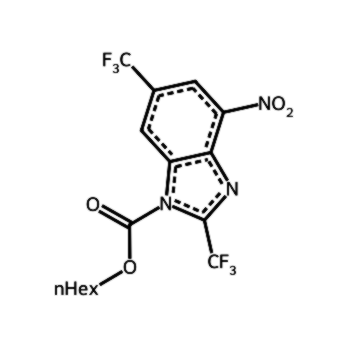 CCCCCCOC(=O)n1c(C(F)(F)F)nc2c([N+](=O)[O-])cc(C(F)(F)F)cc21